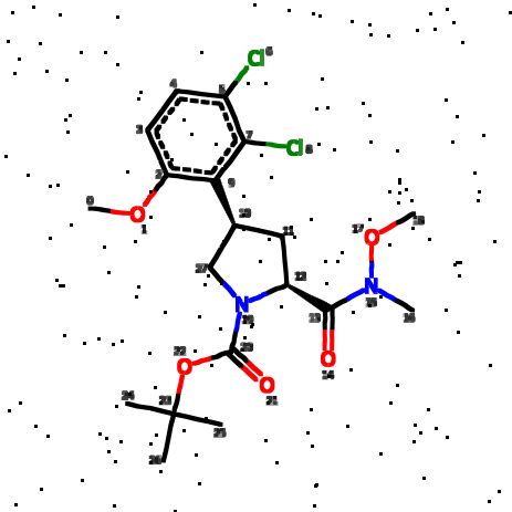 COc1ccc(Cl)c(Cl)c1[C@H]1C[C@@H](C(=O)N(C)OC)N(C(=O)OC(C)(C)C)C1